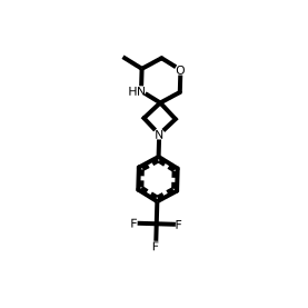 CC1COCC2(CN(c3ccc(C(F)(F)F)cc3)C2)N1